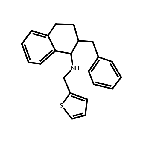 c1ccc(CC2CCc3ccccc3C2NCc2cccs2)cc1